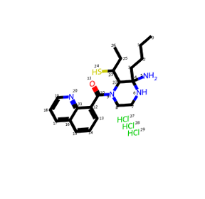 CCCCC1(N)NCCN(C(=O)c2cccc3cccnc23)C1C(S)CC.Cl.Cl.Cl